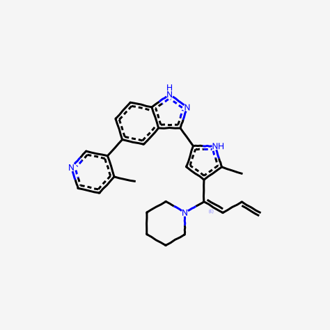 C=C/C=C(\c1cc(-c2n[nH]c3ccc(-c4cnccc4C)cc23)[nH]c1C)N1CCCCC1